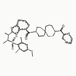 COc1cc(C)c(S(=O)(=O)N(C)C(C)c2nc3cccc(C(=O)N4CCC5(CCN(C(=O)c6cnccn6)CC5)CC4)c3[nH]2)c(C)c1